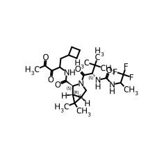 CC(=O)C(=O)C(CC1CCC1)NC(=O)[C@@H]1[C@@H]2[C@H](CN1C(=O)[C@@H](NC(=O)NC(C)C(F)(F)F)C(C)(C)C)C2(C)C